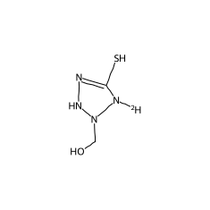 [2H]N1C(S)=NNN1CO